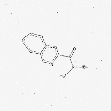 CCC(C)N(C)C(=O)c1cc2ccccc2cn1